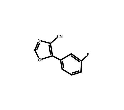 N#Cc1ncoc1-c1cccc(F)c1